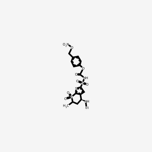 CCN[C@H]1CC(C)S(=O)(=O)c2sc(S(=O)(=O)NC(=O)Oc3ccc(CO[N+](=O)[O-])cc3)cc21